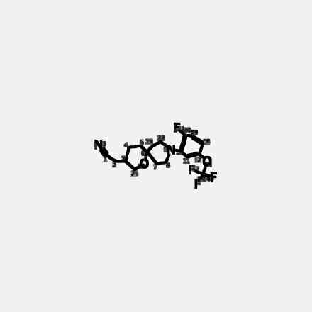 N#CCC1CCC2(CCN(c3cc(OC(F)(F)F)ccc3F)CC2)OC1